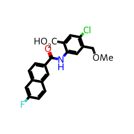 COCc1cc(NC(=O)c2ccc3cc(F)ccc3c2)c(C(=O)O)cc1Cl